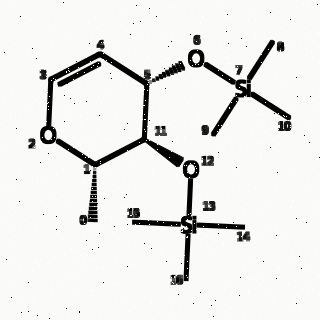 C[C@@H]1OC=C[C@H](O[Si](C)(C)C)[C@H]1O[Si](C)(C)C